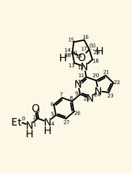 CCNC(=O)Nc1ccc(-c2nc(N3C[C@H]4CC[C@@H](C3)O4)c3cccn3n2)cc1